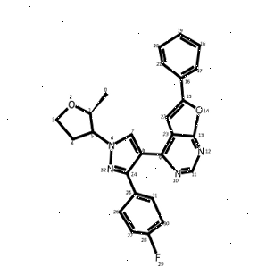 C[C@@H]1OCCC1n1cc(-c2ncnc3oc(-c4ccccc4)cc23)c(-c2ccc(F)cc2)n1